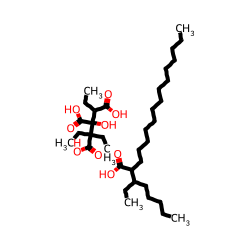 CCC(C(=O)O)C(O)(C(=O)O)C(CC)(CC)C(=O)O.CCCCCCCCCCCCCCC(C(=O)O)C(CC)CCCCC